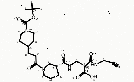 C#CCNC(=O)[C@H](CNC(=O)[C@@H]1CCCN(C(=O)CCC2CCN(C(=O)OC(C)(C)C)CC2)C1)C(=O)O